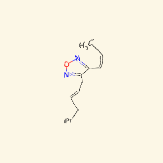 C/C=C\c1nonc1/C=C/CC(C)C